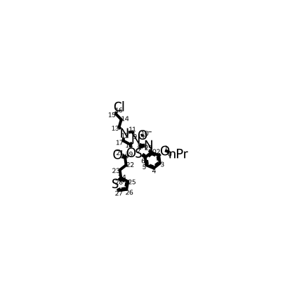 CCCOc1cccc2sc([N+]3([O-])CN(CCCCl)CC3OC(=O)CCc3cccs3)nc12